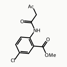 COC(=O)c1cc(Cl)ccc1NC(=O)CC(C)=O